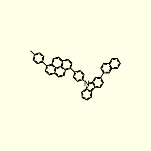 Cc1ccc(-c2ccc3ccc4c(-c5ccc(-n6c7ccccc7c7ccc(-c8ccc9ccccc9c8)cc76)cc5)ccc5ccc2c3c54)cc1